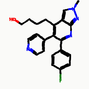 Cn1cc2c(CCCCO)c(-c3ccncc3)c(-c3ccc(F)cc3)nc2n1